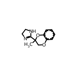 CC1(C2=NCCN2)COc2ccccc2O1